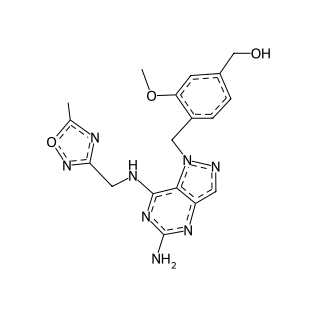 COc1cc(CO)ccc1Cn1ncc2nc(N)nc(NCc3noc(C)n3)c21